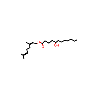 CCCCCCCC(O)CCCC(=O)OCC=C(C)CCC=C(C)C